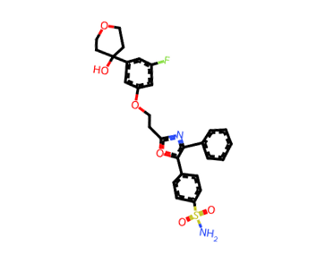 NS(=O)(=O)c1ccc(-c2oc(CCOc3cc(F)cc(C4(O)CCOCC4)c3)nc2-c2ccccc2)cc1